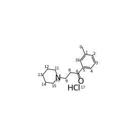 Cc1cccc(C(=O)CCN2CCCCC2)c1.Cl